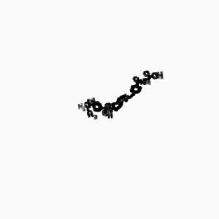 CC(C)(C)c1ccc(S(=O)(=O)Nc2ccc3c(ccn3Cc3ccc(C(=O)NCCC(=O)O)cc3)c2)cc1